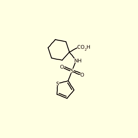 O=C(O)C1(NS(=O)(=O)c2cccs2)CCCCC1